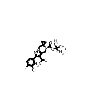 CC(C)(C)OC(=O)N1Cc2c(C(N)=O)c(-c3ccc(F)c(Cl)c3)nn2CC12CC2